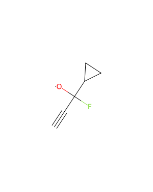 C#CC([O])(F)C1CC1